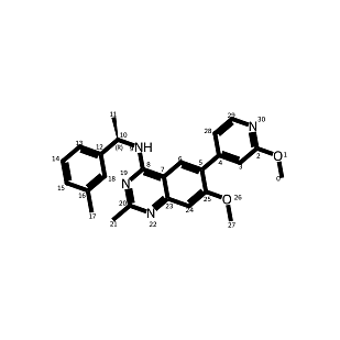 COc1cc(-c2cc3c(N[C@H](C)c4cccc(C)c4)nc(C)nc3cc2OC)ccn1